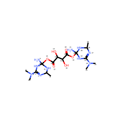 CC1N=C(N(C)C)NC(N)(OC(=O)C(O)C(O)C(=O)OC2(N)NC(N(C)C)=NC(C)N2)N1